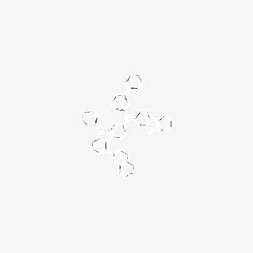 c1ccc(-c2cccc(N(c3ccc4c(c3)sc3ccccc34)c3ccc4c5c(-c6ccc7ccccc7c6)cccc5n(-c5ccccc5)c4c3)c2)cc1